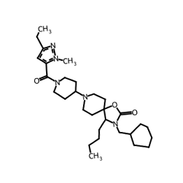 CCCCC1N(CC2CCCCC2)C(=O)OC12CCN(C1CCN(C(=O)c3cc(CC)nn3C)CC1)CC2